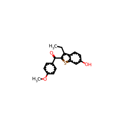 CCc1c(C(=O)c2ccc(OC)cc2)sc2cc(O)ccc12